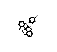 COC(C(=O)Oc1ccc(Cl)cc1)(c1c(C)cccc1C)c1c(C)cccc1C